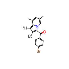 [2H]c1c(CC)c(C(=O)c2ccc(Br)cc2)n2cc(C)cc(C)c12